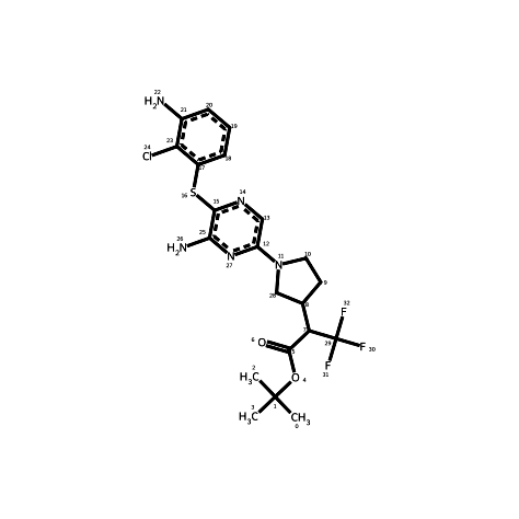 CC(C)(C)OC(=O)C(C1CCN(c2cnc(Sc3cccc(N)c3Cl)c(N)n2)C1)C(F)(F)F